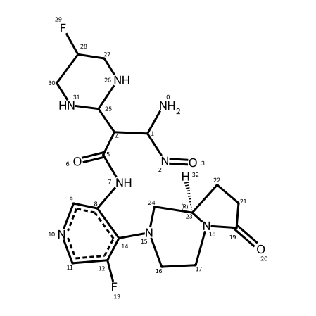 NC(N=O)C(C(=O)Nc1cncc(F)c1N1CCN2C(=O)CC[C@@H]2C1)C1NCC(F)CN1